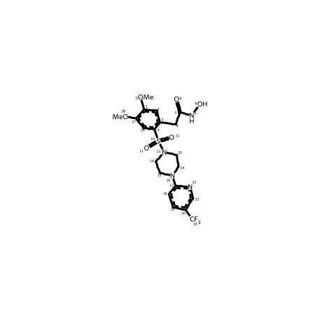 COc1cc(CC(=O)NO)c(S(=O)(=O)N2CCN(c3ccc(C(F)(F)F)cn3)CC2)cc1OC